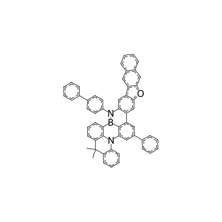 CC1(C)c2ccccc2N2c3cc(-c4ccccc4)cc4c3B(c3cccc1c32)N(c1ccc(-c2ccccc2)cc1)c1cc2c(cc1-4)oc1cc3ccccc3cc12